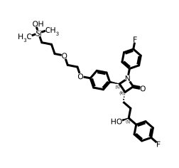 C[Si](C)(O)CCCOCCOc1ccc([C@@H]2[C@@H](CC[C@H](O)c3ccc(F)cc3)C(=O)N2c2ccc(F)cc2)cc1